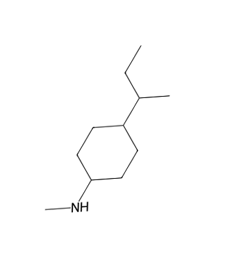 CCC(C)C1CCC(NC)CC1